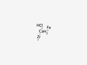 Cl.[CaH2].[Fe].[Zr]